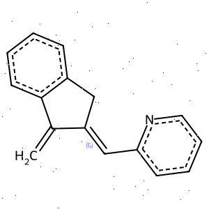 C=C1/C(=C/c2ccccn2)Cc2ccccc21